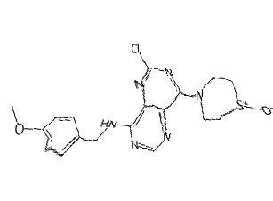 COc1ccc(CNc2ncnc3c(N4CC[S+]([O-])CC4)nc(Cl)nc23)cc1